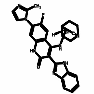 Cc1nccn1-c1cc2[nH]c(=O)c(-c3nc4ccccc4[nH]3)c(N[C@H]3CN4CCC3CC4)c2cc1F